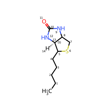 CCCCCC1SCC2NC(=O)N[C@@H]21